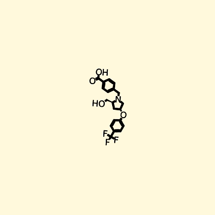 O=C(O)c1ccc(CN2C[C@@H](Oc3ccc(C(F)(F)F)cc3)C[C@H]2CO)cc1